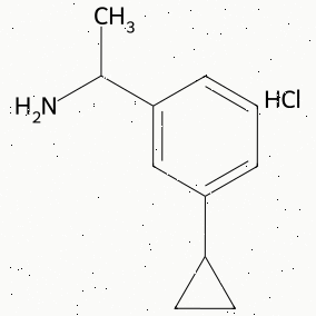 CC(N)c1cccc(C2CC2)c1.Cl